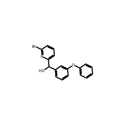 OC(c1cccc(Oc2ccccc2)c1)c1cccc(Br)n1